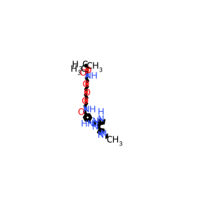 CCCn1cc(-c2nc(Nc3ccc(C(=O)NCCOCCOCCOCCNC(=O)OC(C)(C)C)cc3)nc3[nH]ccc23)cn1